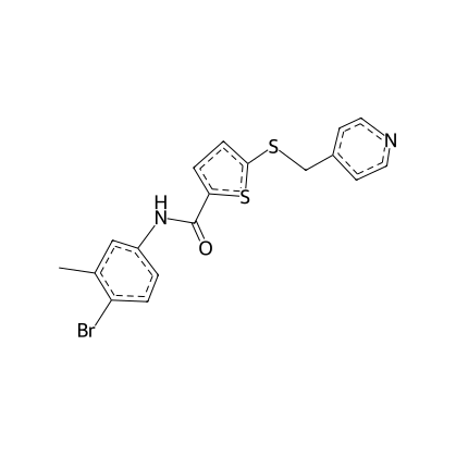 Cc1cc(NC(=O)c2ccc(SCc3ccncc3)s2)ccc1Br